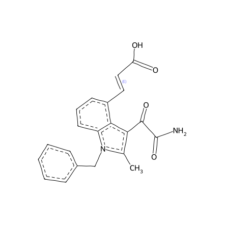 Cc1c(C(=O)C(N)=O)c2c(/C=C/C(=O)O)cccc2n1Cc1ccccc1